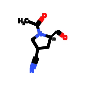 CC(=O)N1CC(C#N)C[C@H]1C=O